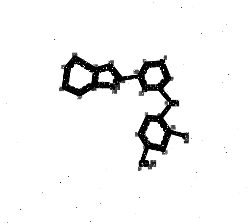 O=C(O)c1ccc(Nc2cncc(-c3cc4ccccc4[nH]3)n2)c(Cl)c1